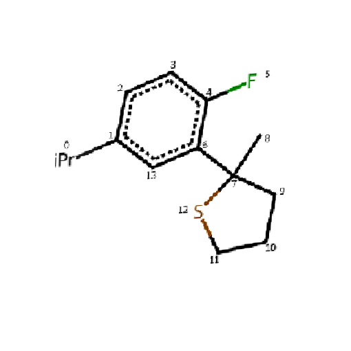 CC(C)c1ccc(F)c(C2(C)CCCS2)c1